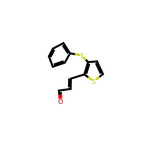 O=CC=Cc1sccc1Sc1ccccc1